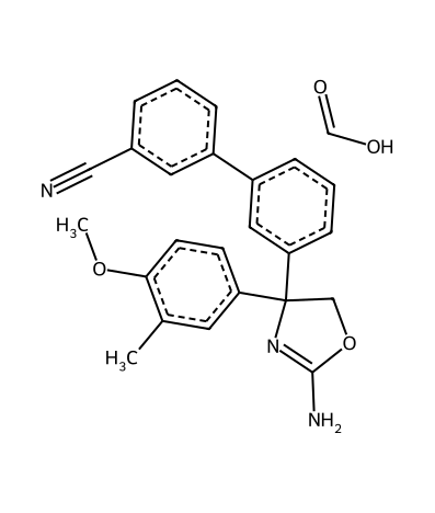 COc1ccc(C2(c3cccc(-c4cccc(C#N)c4)c3)COC(N)=N2)cc1C.O=CO